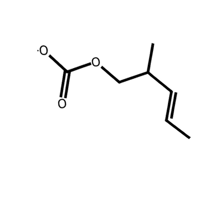 CC=CC(C)COC([O])=O